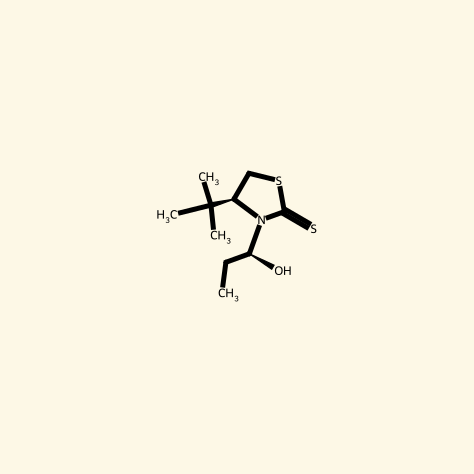 CC[C@H](O)N1C(=S)SC[C@@H]1C(C)(C)C